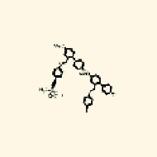 COc1ccc(-c2ccc(Cl)cc2)c(COc2ccc(C#C[Si](C)(C)C)cc2)c1.COc1ccc(-c2ccc(Cl)cc2)c(COc2ccc(I)cc2)c1